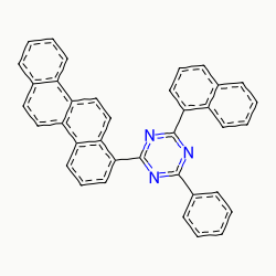 c1ccc(-c2nc(-c3cccc4ccccc34)nc(-c3cccc4c3ccc3c5ccccc5ccc43)n2)cc1